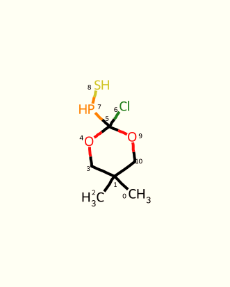 CC1(C)COC(Cl)(PS)OC1